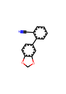 N#Cc1ccccc1-c1ccc2c(c1)OCO2